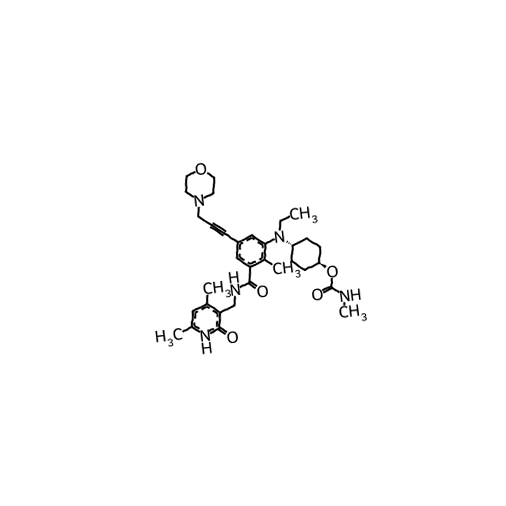 CCN(c1cc(C#CCN2CCOCC2)cc(C(=O)NCc2c(C)cc(C)[nH]c2=O)c1C)[C@H]1CC[C@H](OC(=O)NC)CC1